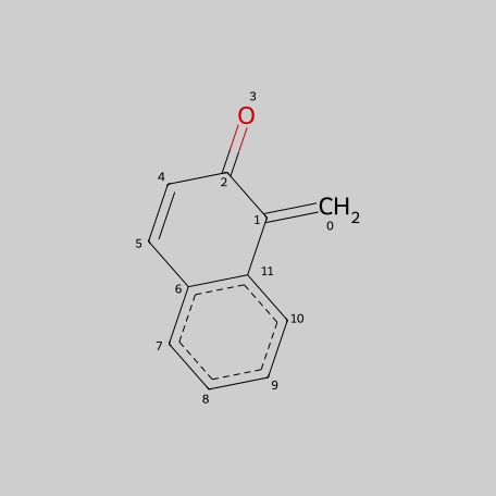 C=C1C(=O)C=Cc2ccccc21